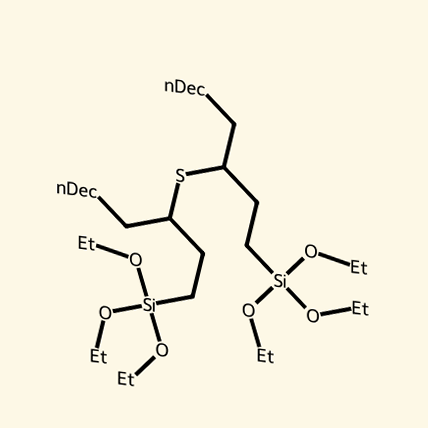 CCCCCCCCCCCC(CC[Si](OCC)(OCC)OCC)SC(CCCCCCCCCCC)CC[Si](OCC)(OCC)OCC